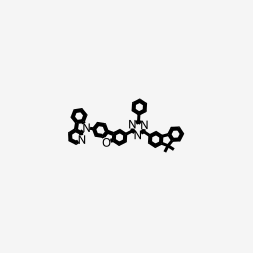 CC1(C)c2ccccc2-c2cc(-c3nc(-c4ccccc4)nc(-c4ccc5oc6cc(-n7c8ccccc8c8cccnc87)ccc6c5c4)n3)ccc21